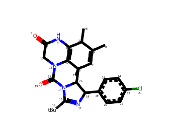 CC1=CC2(C)C3=C(NC(=O)CN3C(=O)N3C(C(C)(C)C)=NC(c4ccc(Cl)cc4)C32)C1C